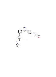 COc1cc(-c2nccc(-c3cccc(-c4ccc(CNC5CC6(COC6)C5)c(OC)n4)c3C(F)(F)F)c2Cl)ccc1CNC1CC2(COC2)C1